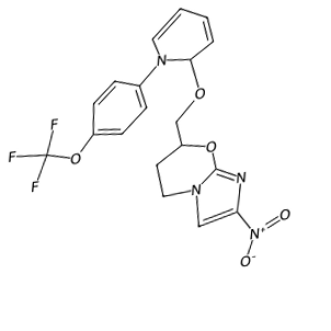 O=[N+]([O-])c1cn2c(n1)OC(COC1C=CC=CN1c1ccc(OC(F)(F)F)cc1)CC2